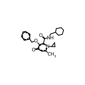 Cc1cc(=O)c(OCc2ccccc2)c(C(=O)NCC2CCCCC2)n1C1CC1